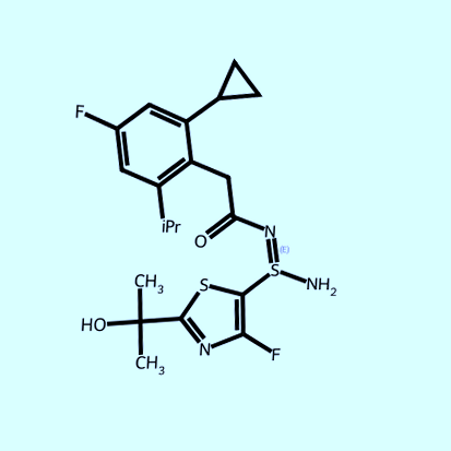 CC(C)c1cc(F)cc(C2CC2)c1CC(=O)/N=S(/N)c1sc(C(C)(C)O)nc1F